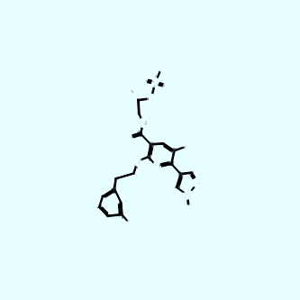 C[C@H](CNC(=O)c1cc(F)c(-c2cnn(C)c2)nc1NCCc1cccc(F)c1)NS(C)(=O)=O